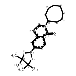 CC1(C)OB(c2ccc3c(=O)n(C4CCCCCCC4)cnc3c2)OC1(C)C